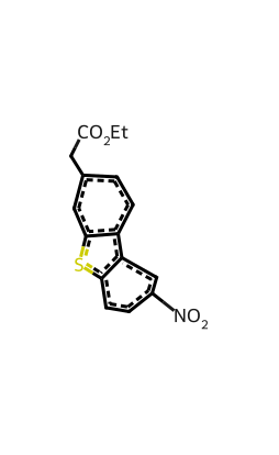 CCOC(=O)Cc1ccc2c(c1)sc1ccc([N+](=O)[O-])cc12